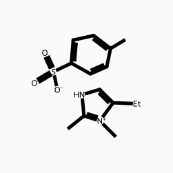 CCc1c[nH]c(C)[n+]1C.Cc1ccc(S(=O)(=O)[O-])cc1